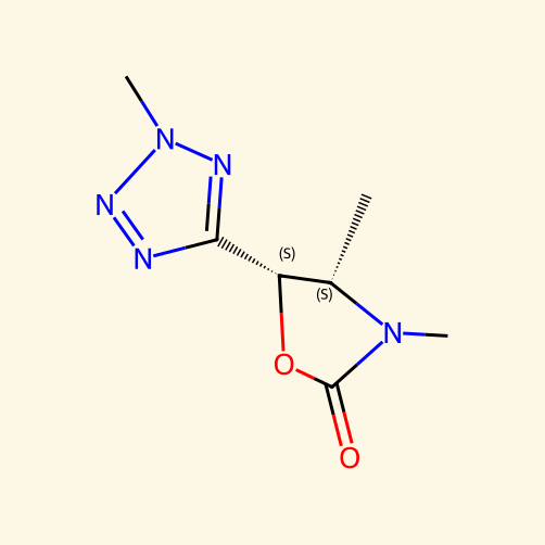 C[C@H]1[C@@H](c2nnn(C)n2)OC(=O)N1C